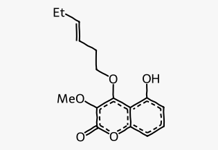 CC/C=C/CCOc1c(OC)c(=O)oc2cccc(O)c12